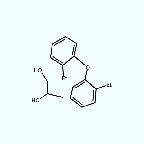 CC(O)CO.CCc1ccccc1Oc1ccccc1CC